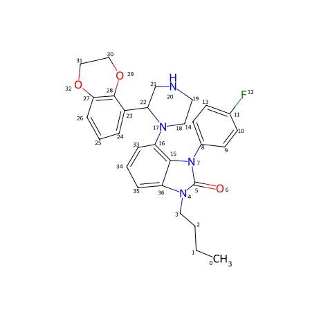 CCCCn1c(=O)n(-c2ccc(F)cc2)c2c(N3CCNCC3c3cccc4c3OCCO4)cccc21